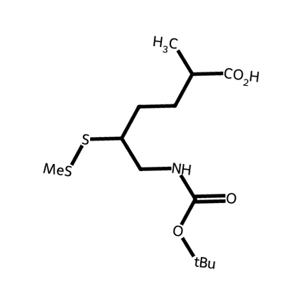 CSSC(CCC(C)C(=O)O)CNC(=O)OC(C)(C)C